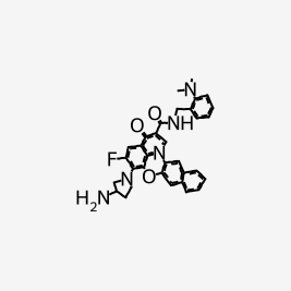 CN(C)c1ccccc1CNC(=O)c1cn2c3c(c(N4CCC(N)C4)c(F)cc3c1=O)Oc1cc3ccccc3cc1-2